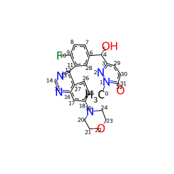 Cn1nc(C(O)c2ccc(F)c(-c3ncnc4cc(N5CCOCC5)ccc34)c2)ccc1=O